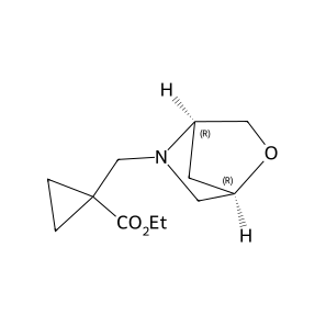 CCOC(=O)C1(CN2C[C@H]3C[C@@H]2CO3)CC1